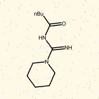 CCCCC(=O)NC(=N)N1CCCCC1